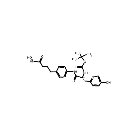 CC(C)(C)OC(=O)N[C@H](Cc1ccc(O)cn1)C(=O)Nc1ccc(CCCC(=O)NO)cc1